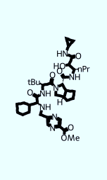 CCC[C@H](NC(=O)[C@@H]1C2CCC[C@H]2CN1C(=O)[C@@H](NC(=O)[C@@H](NCc1cnc(C(=O)OC)cn1)C1CCCCC1)C(C)(C)C)C(O)C(=O)NC1CC1